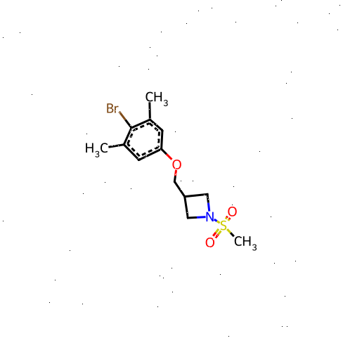 Cc1cc(OCC2CN(S(C)(=O)=O)C2)cc(C)c1Br